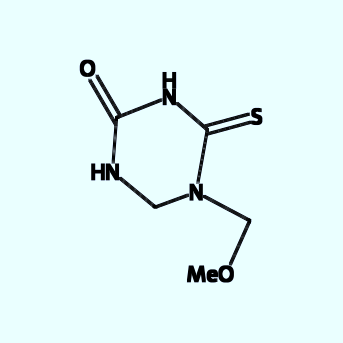 COCN1CNC(=O)NC1=S